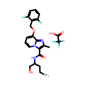 Cc1nc2c(OCc3c(F)cccc3F)cccn2c1C(=O)NC(CO)CCC(F)(F)F.O=C(O)C(F)(F)F